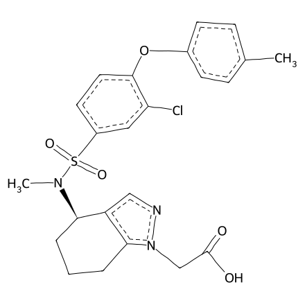 Cc1ccc(Oc2ccc(S(=O)(=O)N(C)[C@@H]3CCCc4c3cnn4CC(=O)O)cc2Cl)cc1